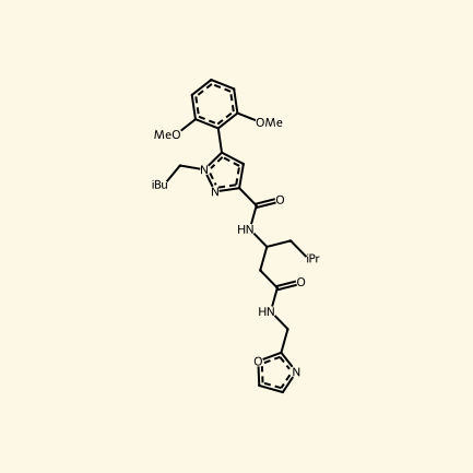 CCC(C)Cn1nc(C(=O)NC(CC(=O)NCc2ncco2)CC(C)C)cc1-c1c(OC)cccc1OC